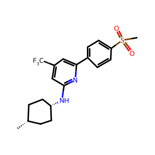 CS(=O)(=O)c1ccc(-c2cc(C(F)(F)F)cc(N[C@H]3CC[C@@H](C)CC3)n2)cc1